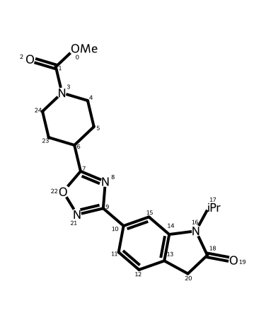 COC(=O)N1CCC(c2nc(-c3ccc4c(c3)N(C(C)C)C(=O)C4)no2)CC1